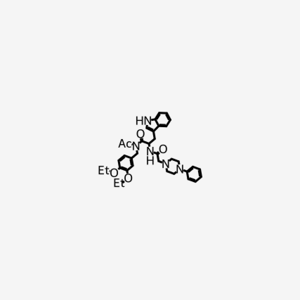 CCOc1ccc(CN(C(C)=O)C(=O)C(Cc2c[nH]c3ccccc23)NC(=O)CN2CCN(c3ccccc3)CC2)cc1OCC